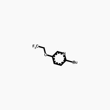 CCC(C)c1ccc(OCC(F)(F)F)cn1